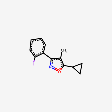 Cc1c(-c2ccccc2I)noc1C1CC1